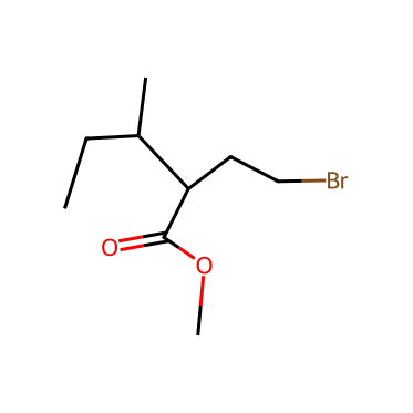 CCC(C)C(CCBr)C(=O)OC